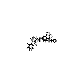 Cc1nnc2sc3c(NCc4ccc(C(=O)NC5CCC5)c(Cl)c4)ncnc3c2c1C